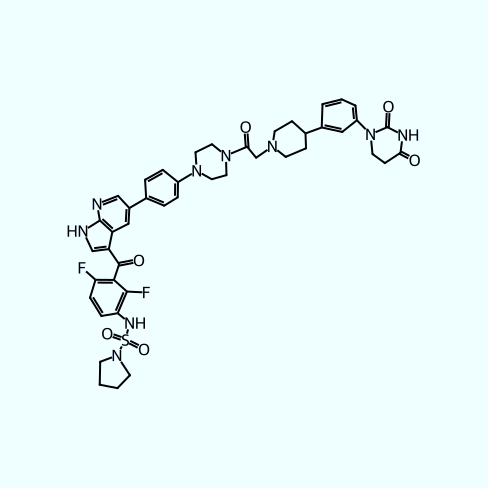 O=C1CCN(c2cccc(C3CCN(CC(=O)N4CCN(c5ccc(-c6cnc7[nH]cc(C(=O)c8c(F)ccc(NS(=O)(=O)N9CCCC9)c8F)c7c6)cc5)CC4)CC3)c2)C(=O)N1